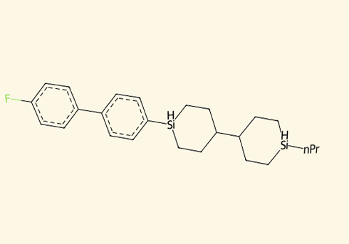 CCC[SiH]1CCC(C2CC[SiH](c3ccc(-c4ccc(F)cc4)cc3)CC2)CC1